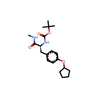 CNC(=O)[C@H](Cc1ccc(OC2CCCC2)cc1)NC(=O)OC(C)(C)C